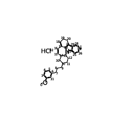 COc1cccc(CCCC2CCC3C(C=CC4=CCCc5c4n3c3ccncc53)C2)c1.Cl